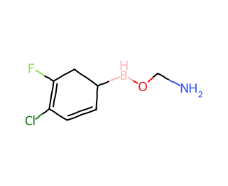 NCOBC1C=CC(Cl)=C(F)C1